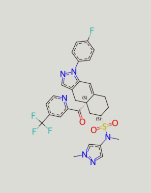 CN(c1cnn(C)c1)S(=O)(=O)[C@H]1CCC2=Cc3c(cnn3-c3ccc(F)cc3)C[C@]2(C(=O)c2cc(C(F)(F)F)ccn2)C1